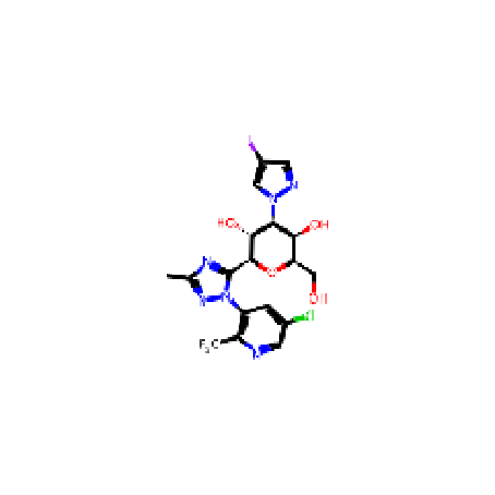 Cc1nc([C@@H]2O[C@H](CO)[C@H](O)[C@H](n3cc(I)cn3)[C@H]2O)n(-c2cc(Cl)cnc2C(F)(F)F)n1